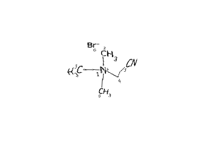 C[N+](C)(C)CC#N.[Br-]